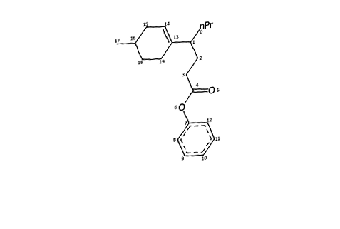 CCCC(CCC(=O)Oc1ccccc1)C1=CCC(C)CC1